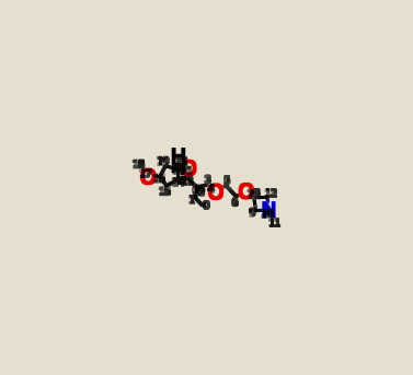 CC[C@H](COCCOC1CN(C)C1)C1=C2CC(OC)C[C@H]2O1